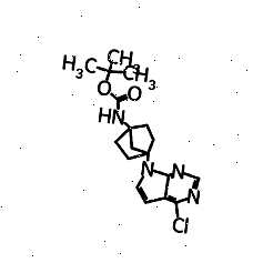 CC(C)(C)OC(=O)NC12CCC(n3ccc4c(Cl)ncnc43)(CC1)C2